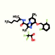 Cc1cc(OCc2c(F)cccc2F)c2nc(C)c(C(=O)N[C@@H](CCCC(F)(F)F)C(=O)O)n2c1.O=C(O)C(F)(F)F